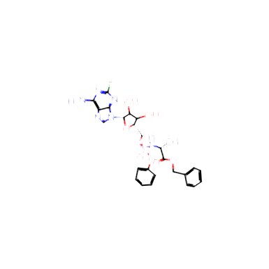 C[C@H](NP(=O)(OC[C@H]1O[C@@H](n2cnc3c(N)nc(F)nc32)C(O)C1O)Oc1ccccc1)C(=O)OCc1ccccc1